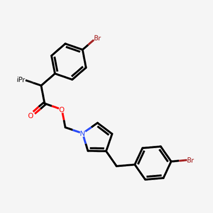 CC(C)C(C(=O)OCn1ccc(Cc2ccc(Br)cc2)c1)c1ccc(Br)cc1